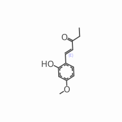 CCC(=O)/C=C/c1ccc(OC)cc1O